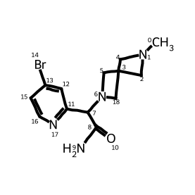 CN1CC2(C1)CN(C(C(N)=O)c1cc(Br)ccn1)C2